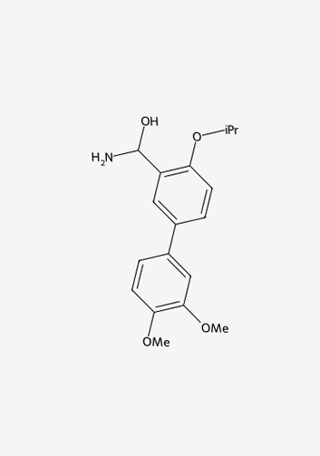 COc1ccc(-c2ccc(OC(C)C)c(C(N)O)c2)cc1OC